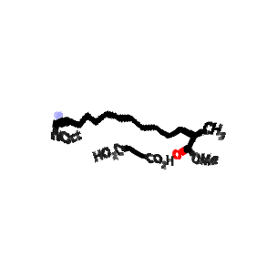 CCCCCCCC/C=C\CCCCCCCCCCC(C)C(=O)OC.O=C(O)CCC(=O)O